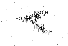 O=C(NCCN(CCNC(=O)C(F)(F)S(=O)(=O)O)CCNC(=O)C(F)(F)S(=O)(=O)O)C(F)(F)S(=O)(=O)O